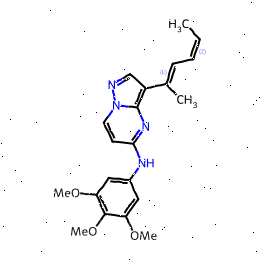 C/C=C\C=C(/C)c1cnn2ccc(Nc3cc(OC)c(OC)c(OC)c3)nc12